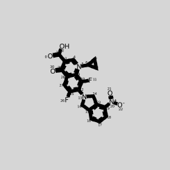 O=C(O)c1cn(C2CC2)c2c(F)c(N3Cc4cccc([N+](=O)[O-])c4C3)c(F)cc2c1=O